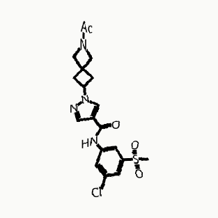 CC(=O)N1CC2(CC(n3cc(C(=O)Nc4cc(Cl)cc(S(C)(=O)=O)c4)cn3)C2)C1